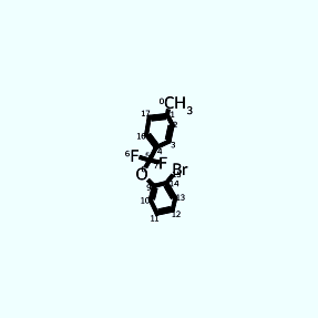 Cc1ccc(C(F)(F)Oc2ccccc2Br)cc1